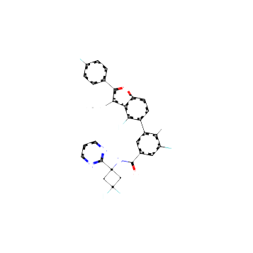 Cc1c(F)cc(C(=O)NC2(c3ncccn3)CC(F)(F)C2)cc1-c1ccc2oc(-c3ccc(F)cc3)c(C=O)c2c1F